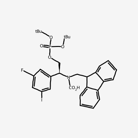 CC(C)(C)OP(=O)(OC[C@H](c1cc(F)cc(I)c1)N(CC1c2ccccc2-c2ccccc21)C(=O)O)OC(C)(C)C